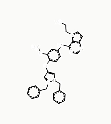 COc1cc(Nc2ncnc3ccn(CCO)c23)ccc1OC1=CN(Cc2ccccc2)S(Cc2ccccc2)=C1